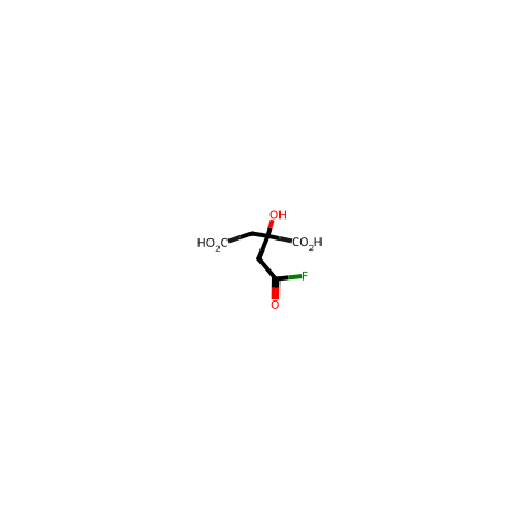 O=C(O)CC(O)(CC(=O)F)C(=O)O